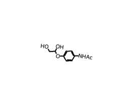 CC(=O)Nc1ccc(OC(O)CO)cc1